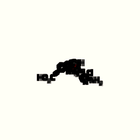 Nc1nccc(Sc2cnc([C@@]3(N)c4cc(C#CC(=O)O)ccc4CC34CCNCC4)cn2)c1Cl